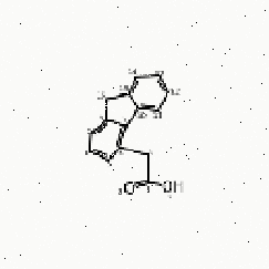 O=C(O)Cc1cccc2c1-c1ccccc1C2